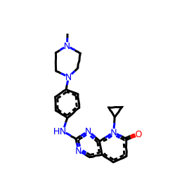 CN1CCN(c2ccc(Nc3ncc4ccc(=O)n(C5CC5)c4n3)cc2)CC1